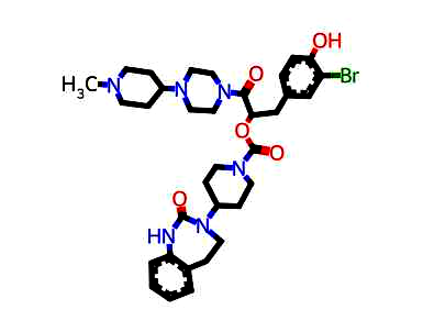 CN1CCC(N2CCN(C(=O)C(Cc3ccc(O)c(Br)c3)OC(=O)N3CCC(N4CCc5ccccc5NC4=O)CC3)CC2)CC1